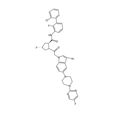 CC(=O)c1cn(CC(=O)C2C[C@H](F)C[C@H]2C(=O)Nc2cccc(-c3ccccc3Cl)c2F)c2ccc(N3CCN(c4ncc(F)cn4)CC3)cc12